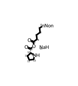 CCCCCCCCCCCCCC(=O)OC(=O)[C@H]1CCCN1.[NaH]